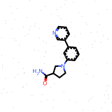 NC(=O)C1CCN(c2cccc(-c3cccnc3)c2)C1